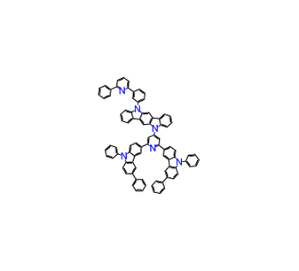 c1ccc(-c2ccc3c(c2)c2cc(-c4cc(-n5c6ccccc6c6cc7c(cc65)c5ccccc5n7-c5cccc(-c6cccc(-c7ccccc7)n6)c5)cc(-c5ccc6c(c5)c5cc(-c7ccccc7)ccc5n6-c5ccccc5)n4)ccc2n3-c2ccccc2)cc1